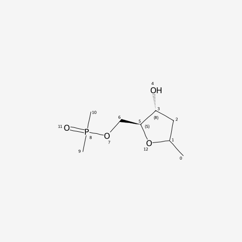 CC1C[C@@H](O)[C@H](COP(C)(C)=O)O1